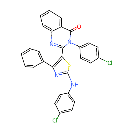 O=c1c2ccccc2nc(-c2sc(Nc3ccc(Cl)cc3)nc2-c2ccccc2)n1-c1ccc(Cl)cc1